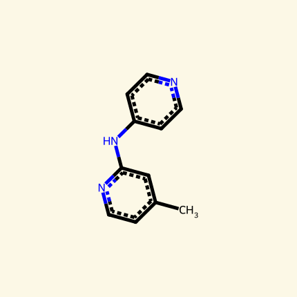 Cc1ccnc(Nc2ccncc2)c1